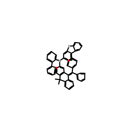 CC1(C)c2ccccc2C(=C(c2ccccc2)c2ccccc2)c2cc(N(c3ccc4c(c3)oc3ccccc34)c3ccccc3-c3ccccc3)ccc21